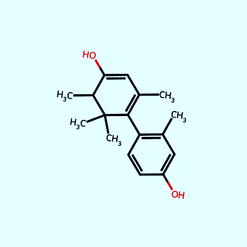 CC1=C(c2ccc(O)cc2C)C(C)(C)C(C)C(O)=C1